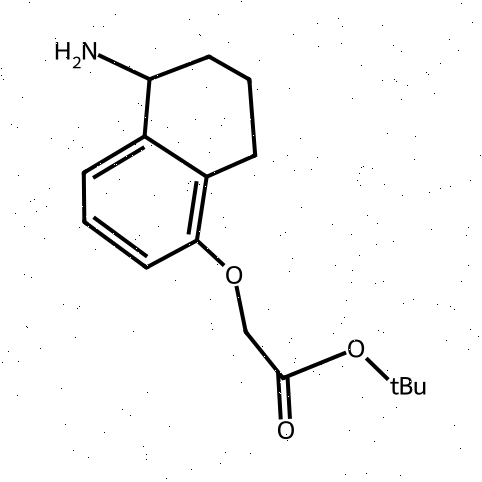 CC(C)(C)OC(=O)COc1cccc2c1CCCC2N